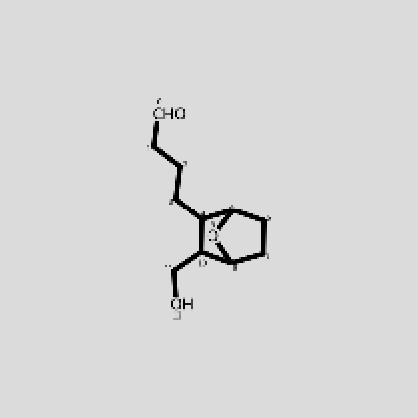 O=CCCCC1C2CCC(O2)C1CO